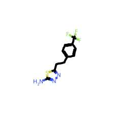 Nc1nnc(CCc2ccc(C(F)(F)F)cc2)s1